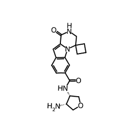 N[C@H]1COC[C@H]1NC(=O)c1ccc2cc3n(c2c1)C1(CCC1)CNC3=O